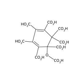 O=C(O)OC1(C(=O)O)C(C(=O)O)=C(C(=O)O)C(C(=O)O)=C(C(=O)O)C1(C(=O)O)C(=O)O